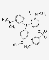 CN(C)c1cccc([S+](c2ccc(OC(C)(C)C)cc2)c2cccc(N(C)C)c2)c1.Cc1ccc(S(=O)(=O)[O-])cc1